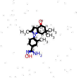 Cc1cc(/C(N)=N/O)ccc1-n1c(C)cc2c1CC(C)(C)CC2=O